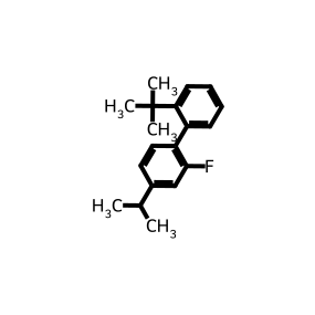 CC(C)c1ccc(-c2ccccc2C(C)(C)C)c(F)c1